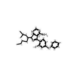 CCCCC(CC(C)C)C1N=C(c2ccc(Oc3ccccc3)cc2F)c2c(N)ncnc21